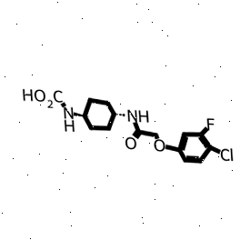 O=C(O)N[C@H]1CC[C@H](NC(=O)COc2ccc(Cl)c(F)c2)CC1